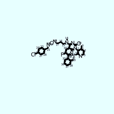 Cc1ccnc(C(C)C)c1-n1c(=O)nc(N(C)CCCN=C=NCc2ccc(Cl)cc2)c2cc(F)c(-c3ccccc3F)nc21